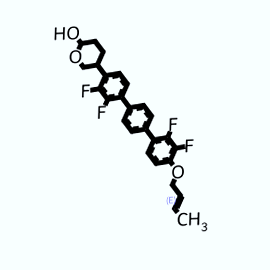 C/C=C/COc1ccc(-c2ccc(-c3ccc(C4CCC(O)OC4)c(F)c3F)cc2)c(F)c1F